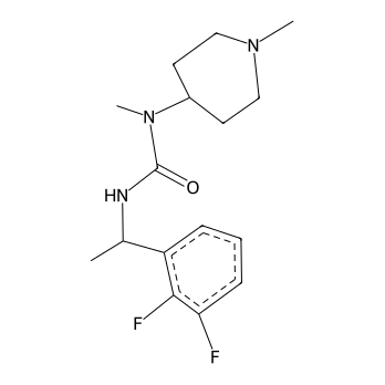 CC(NC(=O)N(C)C1CCN(C)CC1)c1cccc(F)c1F